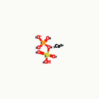 O=P([O-])([O-])OS(=O)(=O)O.[Ca+2]